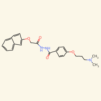 CN(C)CCCOc1ccc(C(=O)NNC(=O)COc2ccc3ccccc3c2)cc1